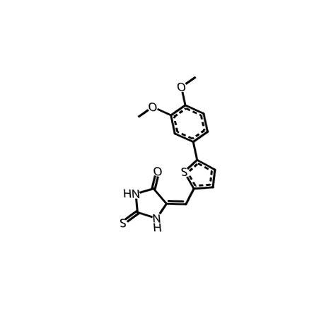 COc1ccc(-c2ccc(C=C3NC(=S)NC3=O)s2)cc1OC